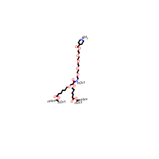 CCCCCCCCC(CCCCCC)OC(=O)CCCCCOCC(OCCCCCC(=O)OC(CCCCCC)CCCCCCCC)C(=O)N(CCCCCCCC)CCOCCOCCOCCOCCOC(=O)C1CCN(C)CC1